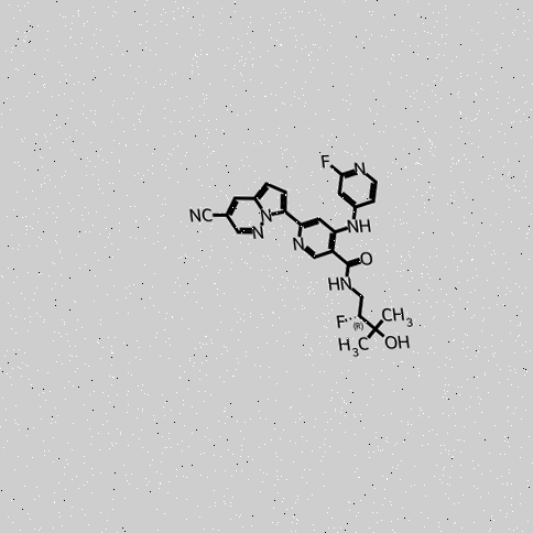 CC(C)(O)[C@H](F)CNC(=O)c1cnc(-c2ccc3cc(C#N)cnn23)cc1Nc1ccnc(F)c1